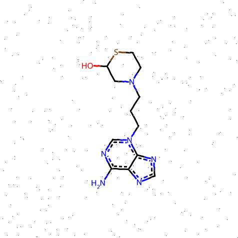 Nc1ncn(CCCN2CCSC(O)C2)c2ncnc1-2